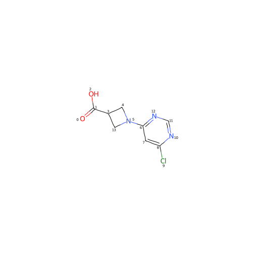 O=C(O)C1CN(c2cc(Cl)ncn2)C1